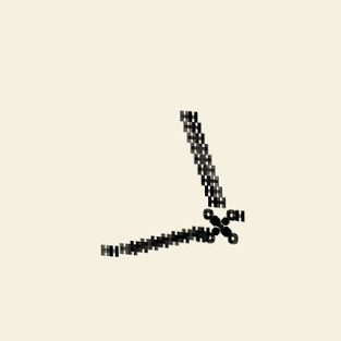 O=S(=O)(O)O.[HH].[HH].[HH].[HH].[HH].[HH].[HH].[HH].[HH].[HH].[HH].[HH].[HH].[HH].[HH].[HH].[HH].[HH]